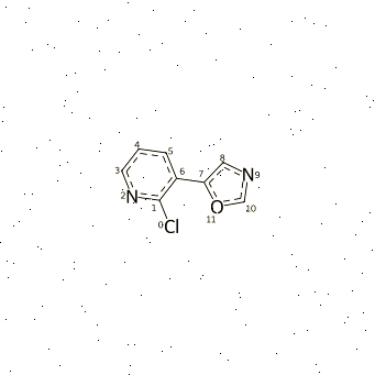 Clc1ncccc1-c1cnco1